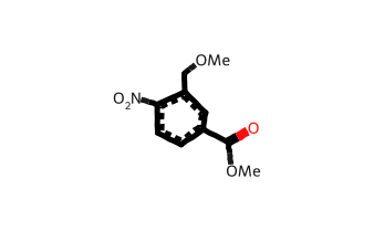 COCc1cc(C(=O)OC)ccc1[N+](=O)[O-]